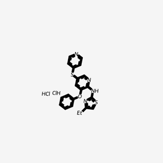 CCc1csc(Nc2ncc(Sc3ccncc3)cc2Oc2ccccc2)n1.Cl.Cl